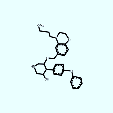 COCCCN1CCOc2ccc(COC3CNCC(O)C3c3ccc(Oc4ccccc4)cc3)cc21